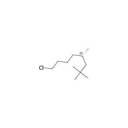 C[C@@H](CCCCCl)CC(C)(C)C